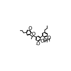 CCCc1cc(OC)c(O)c(-c2cc(C3Oc4c(OC)cc(CCC)cc4C3C)cc(OC)c2O)c1